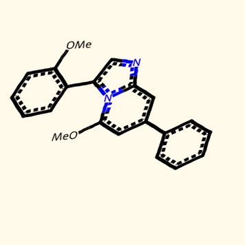 COc1ccccc1-c1cnc2cc(-c3ccccc3)cc(OC)n12